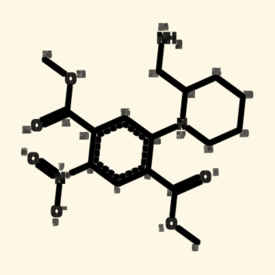 COC(=O)c1cc([N+](=O)[O-])c(C(=O)OC)cc1N1CCCCC1CN